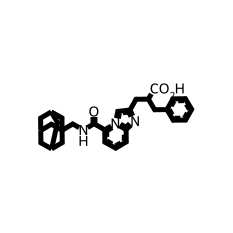 O=C(NCC12CC3CC(CC(C3)C1)C2)c1cccc2nc(CC(Cc3ccccc3)C(=O)O)cn12